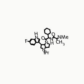 CNC(C)C(=O)NC(C(=O)N1CCC2C1C(c1c[nH]c3cc(F)ccc13)CN2C(C)C)C1CCCCC1